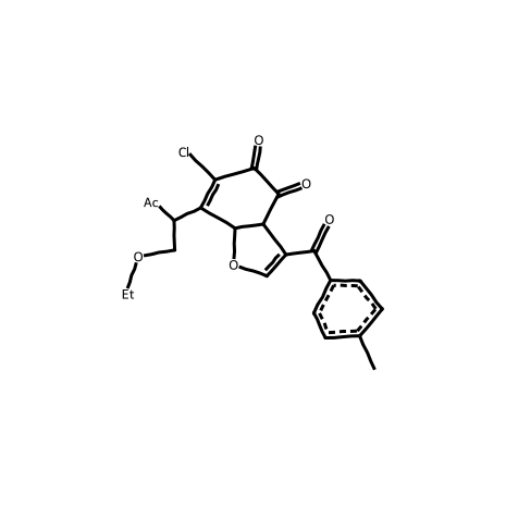 CCOCC(C(C)=O)C1=C(Cl)C(=O)C(=O)C2C(C(=O)c3ccc(C)cc3)=COC12